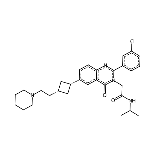 CC(C)NC(=O)Cn1c(-c2cccc(Cl)c2)nc2ccc([C@H]3C[C@@H](CCN4CCCCC4)C3)cc2c1=O